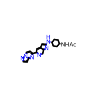 CC(=O)N[C@H]1CC[C@@H](NC2=CC3=CC(c4ccn5nccc5n4)=NCC3=N2)CC1